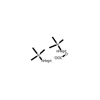 CCCCCCC[N+](C)(C)C.CCCCCCC[N+](C)(C)C.O=C([O-])[O-]